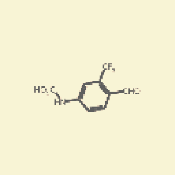 O=Cc1ccc(NC(=O)O)cc1C(F)(F)F